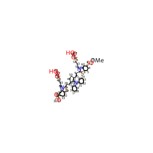 COOSc1ccc2sc(/C=C/C3=C(N(c4ccccc4)c4ccccc4)C(=C/C=C4\Sc5ccc(S(C)(=O)=O)cc5N4CCCSOOO)/CC3)[n+](CCCSOOO)c2c1